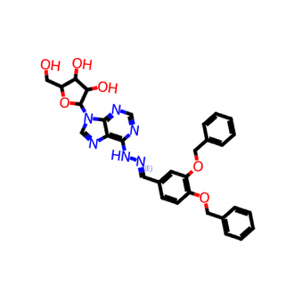 OCC1OC(n2cnc3c(N/N=C/c4ccc(OCc5ccccc5)c(OCc5ccccc5)c4)ncnc32)C(O)C1O